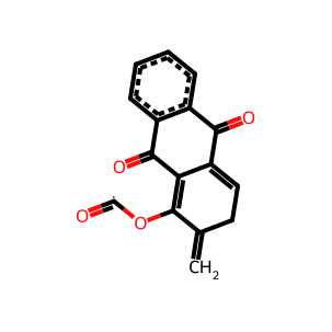 C=C1CC=C2C(=O)c3ccccc3C(=O)C2=C1O[C]=O